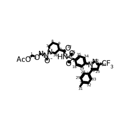 CC(=O)OCON=[N+]([O-])N1CCCC(C(=O)NS(=O)(=O)c2ccc(-n3nc(C(F)(F)F)cc3-c3ccc(C)cc3)cc2)C1